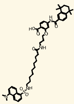 CN(C)c1cccc2c(S(=O)(=O)NCCCCCCCCCCC(=O)NCCCOc3cc(NC(=O)c4ccc5c(c4)C(C)(C)CCC5(C)C)ccc3C(=O)O)cccc12